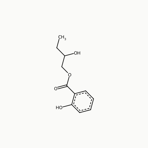 CCC(O)COC(=O)c1ccccc1O